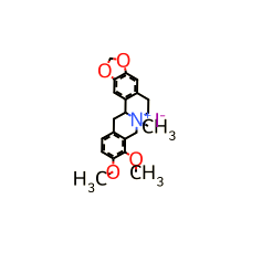 COc1ccc2c(c1OC)C[N+]1(C)CCc3cc4c(cc3C1C2)OCO4.[I-]